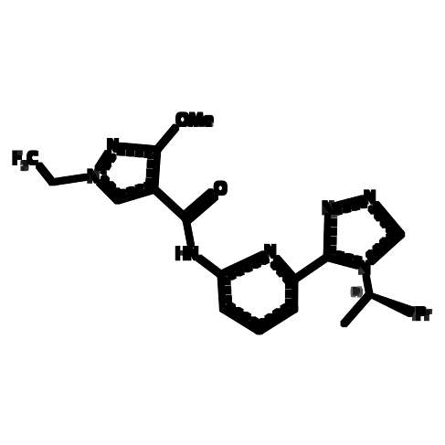 COc1nn(CC(F)(F)F)cc1C(=O)Nc1cccc(-c2nncn2[C@H](C)C(C)C)n1